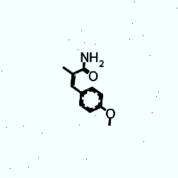 COc1ccc(C=C(C)C(N)=O)cc1